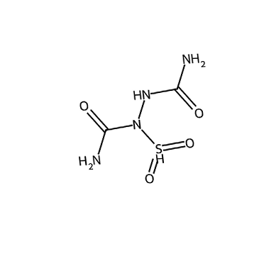 NC(=O)NN(C(N)=O)[SH](=O)=O